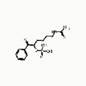 NC(=O)NCCCCC(OP(=O)(O)O)C(=O)c1ccccc1